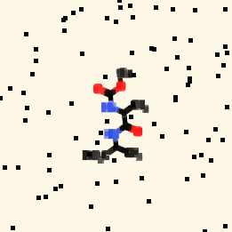 CCOC(=O)C(C)NC(=O)C(C)NC(=O)OC(C)(C)C